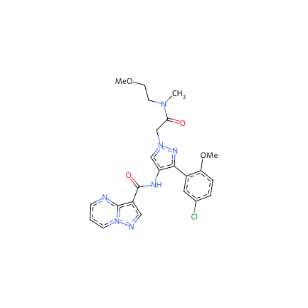 COCCN(C)C(=O)Cn1cc(NC(=O)c2cnn3cccnc23)c(-c2cc(Cl)ccc2OC)n1